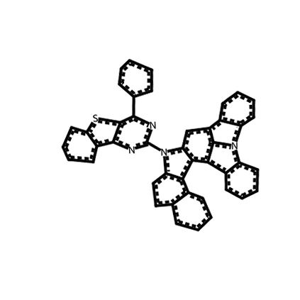 c1ccc(-c2nc(-n3c4ccc5ccccc5c4c4c5c6ccccc6n6c7ccccc7c(cc43)c56)nc3c2sc2ccccc23)cc1